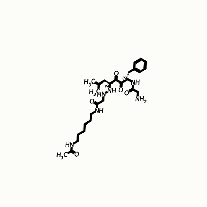 CC(=O)NCCCCCCNC(=O)CNN[C@@H](CC(C)C)C(=O)C(=O)[C@H](Cc1ccccc1)NC(=O)CN